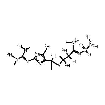 [2H]c1sc(N=C(N([2H])C)N([2H])C)nc1C([2H])(C)SC([2H])(C)C([2H])([2H])/C(=N/S(=O)(=O)N([2H])[2H])N([2H])C